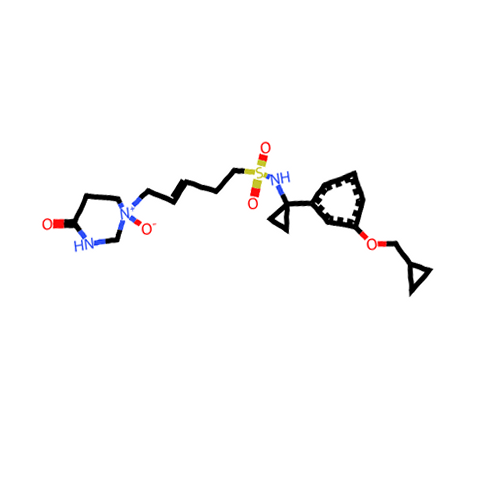 O=C1CC[N+]([O-])(C/C=C/CCS(=O)(=O)NC2(c3cccc(OCC4CC4)c3)CC2)CN1